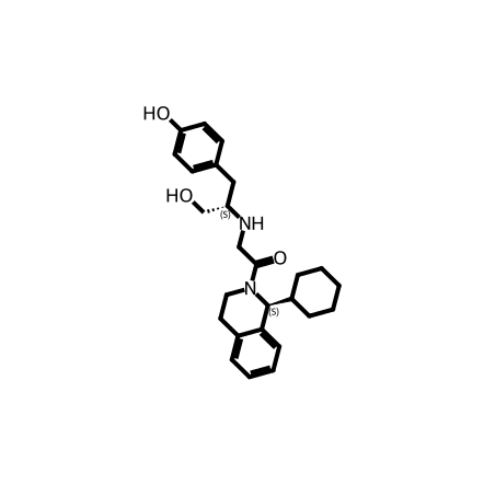 O=C(CN[C@H](CO)Cc1ccc(O)cc1)N1CCc2ccccc2[C@@H]1C1CCCCC1